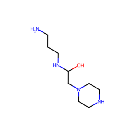 NCCCNC(O)CN1CCNCC1